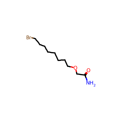 NC(=O)COCCCCCCCCBr